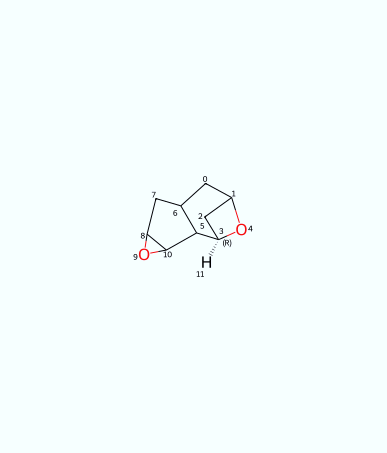 C1C2C[C@@H](O2)C2C1CC1OC12